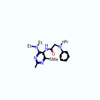 CCCN(CC(=O)Nc1c(SC)nc(C)nc1N(CC)CC)c1ccccc1